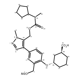 COCc1nc(-c2nnn(C)c2COC(=O)N(C)C2CCCC2)ccc1O[C@H]1CCC[C@H](C(=O)O)C1